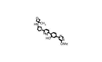 COc1cc(-c2ccc(-c3ccc(N4CC[C@@H](NC5(C)COC5)C4)nn3)c(O)c2)ncn1